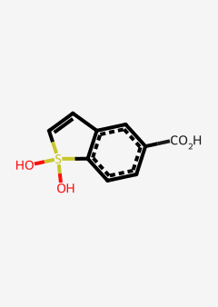 O=C(O)c1ccc2c(c1)C=CS2(O)O